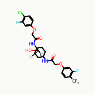 O=C(COc1ccc(C(F)(F)F)c(F)c1)NC12CCC(NC(=O)COc3ccc(Cl)c(F)c3)(CC1)[C@@H](O)C2